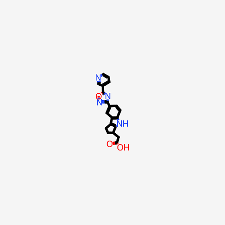 O=C(O)CC1CCc2c1[nH]c1ccc(-c3noc(-c4cccnc4)n3)cc21